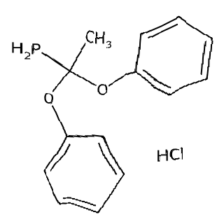 CC(P)(Oc1ccccc1)Oc1ccccc1.Cl